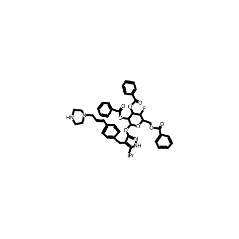 CC(C)c1[nH]nc(OC2OC(COC(=O)c3ccccc3)C(F)C(OC(=O)c3ccccc3)C2OC(=O)c2ccccc2)c1Cc1ccc(/C=C/CN2CCNCC2)cc1